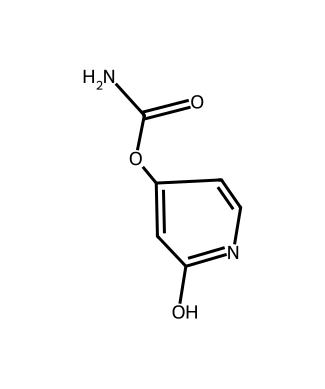 NC(=O)Oc1ccnc(O)c1